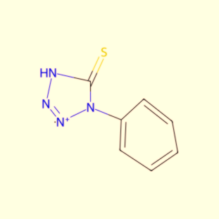 S=C1NN=[N+]N1c1ccccc1